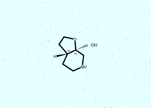 C1C[C@@H]2CCO[C@H]2CN1.Cl